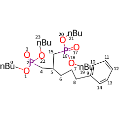 CCCCOP(=O)(CC(CCCc1ccccc1)CP(=O)(OCCCC)OCCCC)OCCCC